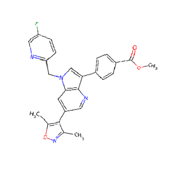 COC(=O)c1ccc(-c2cn(Cc3ccc(F)cn3)c3cc(-c4c(C)noc4C)cnc23)cc1